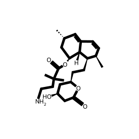 C[C@@H]1C=C2C=C[C@@H](C)[C@@H](CC[C@@H]3C[C@H](O)CC(=O)O3)[C@@H]2[C@H](OC(=O)C(C)(C)CCN)C1